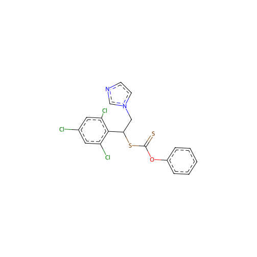 S=C(Oc1ccccc1)SC(Cn1ccnc1)c1c(Cl)cc(Cl)cc1Cl